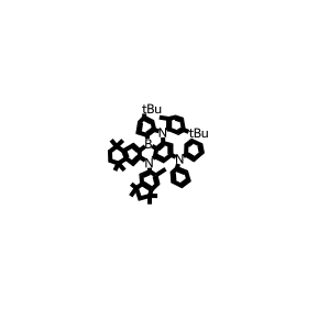 Cc1ccc(C(C)(C)C)cc1N1c2cc(C(C)(C)C)ccc2B2c3cc4c(cc3N(c3cc5c(cc3C)C(C)(C)CC5(C)C)c3cc(N(c5ccccc5)c5ccccc5)cc1c32)C(C)(C)CCC4(C)C